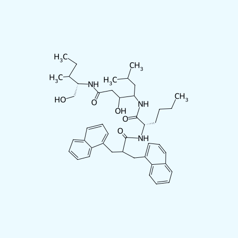 CCCC[C@H](NC(=O)C(Cc1cccc2ccccc12)Cc1cccc2ccccc12)C(=O)NC(CC(C)C)C(O)CC(=O)N[C@H](CO)C(C)CC